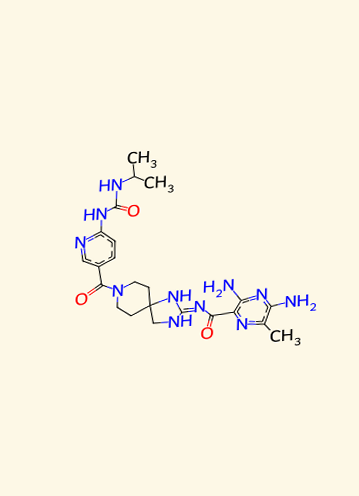 Cc1nc(C(=O)/N=C2\NCC3(CCN(C(=O)c4ccc(NC(=O)NC(C)C)nc4)CC3)N2)c(N)nc1N